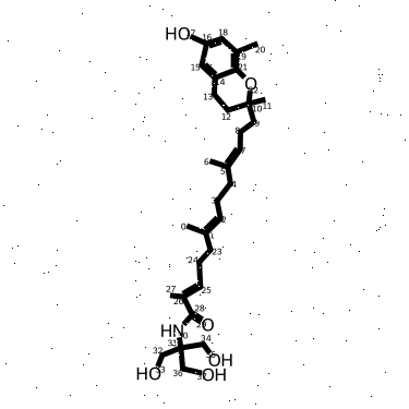 C/C(=C\CC/C(C)=C/CCC1(C)CCc2cc(O)cc(C)c2O1)CC/C=C(\C)C(=O)NC(CO)(CO)CO